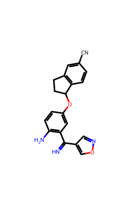 N#Cc1ccc2c(c1)CCC2Oc1ccc(N)c(C(=N)c2cnoc2)c1